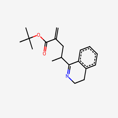 C=C(CC(C)C1=NCCc2ccccc21)C(=O)OC(C)(C)C